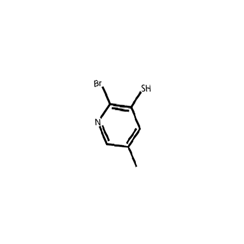 Cc1cnc(Br)c(S)c1